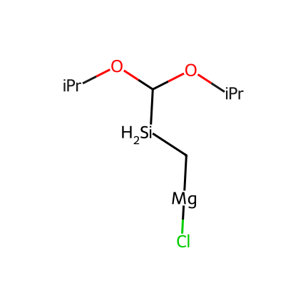 CC(C)OC(OC(C)C)[SiH2][CH2][Mg][Cl]